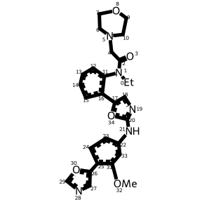 CCN(C(=O)CN1CCOCC1)c1ccccc1-c1cnc(Nc2ccc(-c3cnco3)c(OC)c2)o1